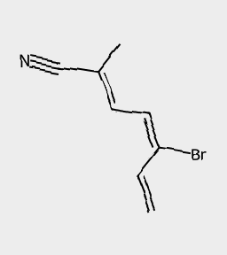 C=C/C(Br)=C\C=C(/C)C#N